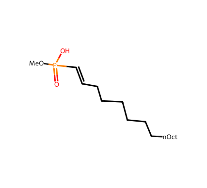 CCCCCCCCCCCCCCC=CP(=O)(O)OC